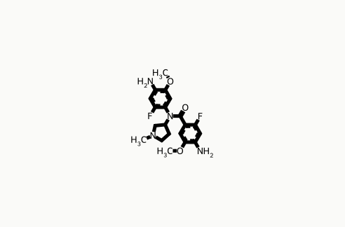 COc1cc(C(=O)N(c2cc(OC)c(N)cc2F)C2CCN(C)C2)c(F)cc1N